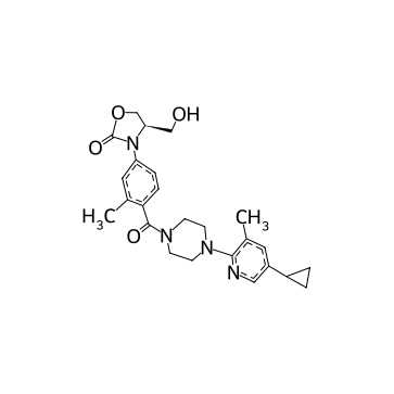 Cc1cc(N2C(=O)OC[C@H]2CO)ccc1C(=O)N1CCN(c2ncc(C3CC3)cc2C)CC1